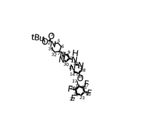 CC(C)(C)OC(=O)N1CCC(n2cc(Nc3ncc(OCc4c(F)c(F)cc(F)c4F)cn3)cn2)CC1